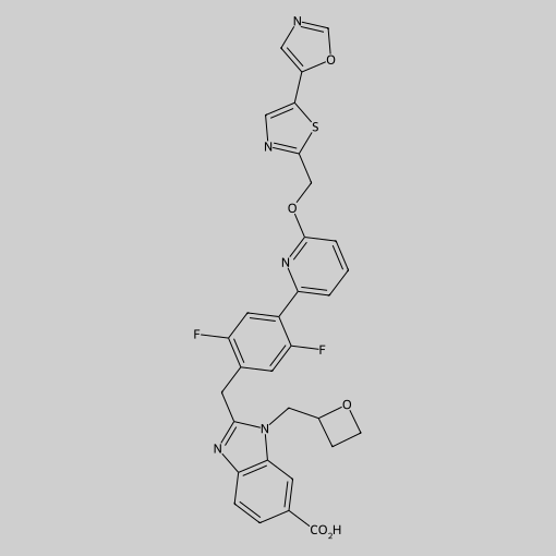 O=C(O)c1ccc2nc(Cc3cc(F)c(-c4cccc(OCc5ncc(-c6cnco6)s5)n4)cc3F)n(CC3CCO3)c2c1